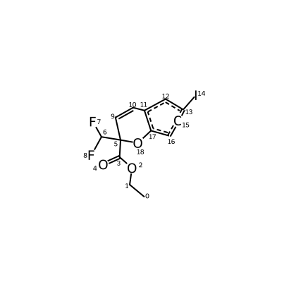 CCOC(=O)C1(C(F)F)C=Cc2cc(I)ccc2O1